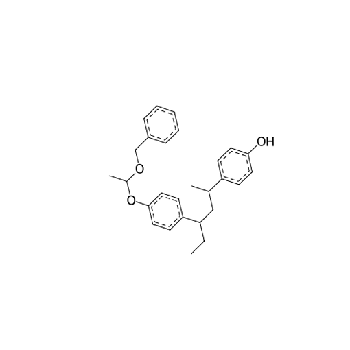 CCC(CC(C)c1ccc(O)cc1)c1ccc(OC(C)OCc2ccccc2)cc1